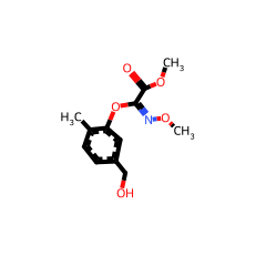 CON=C(Oc1cc(CO)ccc1C)C(=O)OC